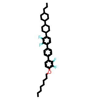 CCCCCCCCOc1ccc(-c2ccc(-c3ccc(C4CCC(C5CCC(CCC)CC5)CC4)c(F)c3F)cc2)c(F)c1F